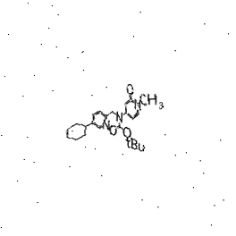 Cn1ccc(N(Cc2ccc(C3CCCCC3)cn2)C(=O)OC(C)(C)C)cc1=O